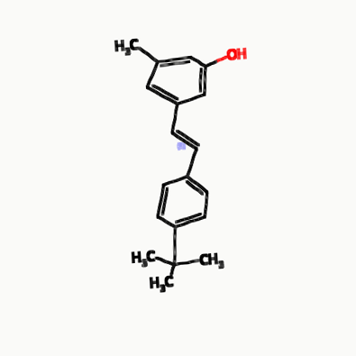 Cc1cc(O)cc(/C=C/c2ccc(C(C)(C)C)cc2)c1